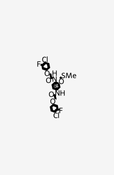 CSCOC1CC2(NC(=O)COc3ccc(Cl)c(F)c3)CCC1(NC(=O)COc1ccc(Cl)c(F)c1)CC2